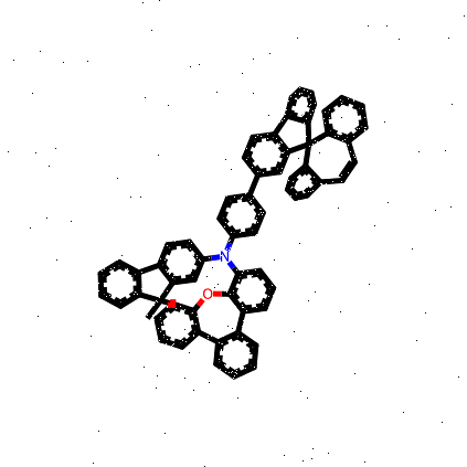 CC1(C)c2ccccc2-c2ccc(N(c3ccc(-c4ccc5c(c4)C4(c6ccccc6C=Cc6ccccc64)c4ccccc4-5)cc3)c3cccc4c3Oc3ccccc3-c3ccccc3-4)cc21